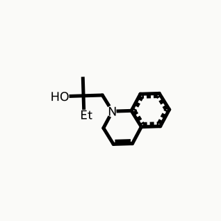 CCC(C)(O)CN1CC=Cc2ccccc21